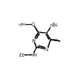 CCCCc1c(C)nc(NCC)nc1OCCC